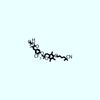 Cc1c(C)c2c(c(C)c1OCCCCC(C)(C)C#N)CCC(C)(COc1ccc(C=C3SC(=O)NC3=O)cc1C(F)(F)F)O2